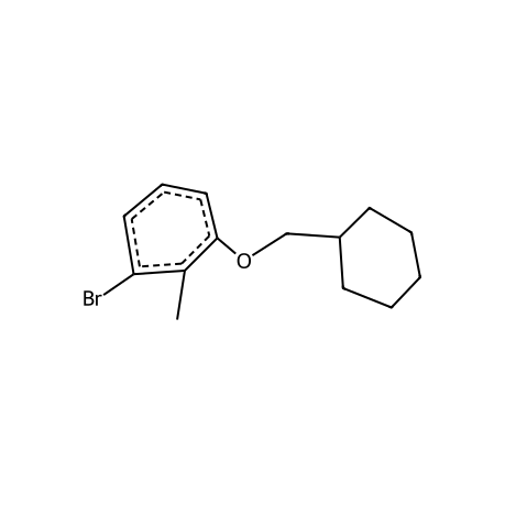 Cc1c(Br)cccc1OCC1CCCCC1